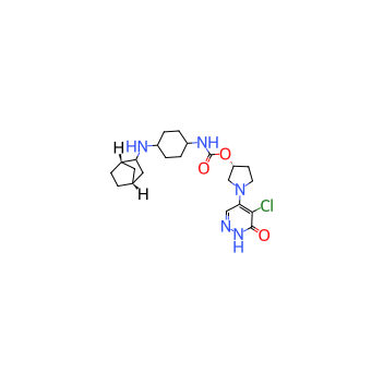 O=C(NC1CCC(NC2C[C@@H]3CC[C@H]2C3)CC1)O[C@@H]1CCN(c2cn[nH]c(=O)c2Cl)C1